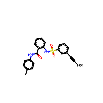 CCCCC#Cc1cccc(S(=O)(=O)Nc2ccccc2C(=O)Nc2ccc(C)cc2)c1